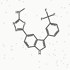 CNc1nnc(-c2ccc3[nH]cc(-c4cccc(C(F)(F)F)c4)c3c2)s1